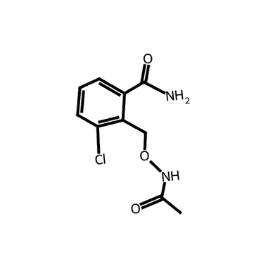 CC(=O)NOCc1c(Cl)cccc1C(N)=O